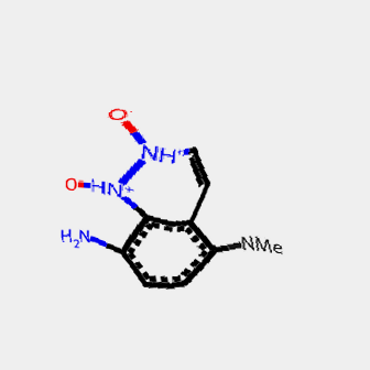 CNc1ccc(N)c2c1C=C[NH+]([O-])[NH+]2[O-]